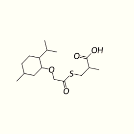 CC1CCC(C(C)C)C(OCC(=O)SCC(C)C(=O)O)C1